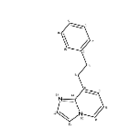 c1ccc(CCc2cccn3ccnc23)cc1